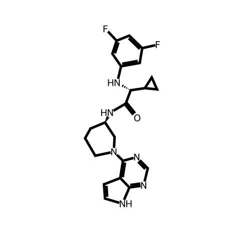 O=C(N[C@@H]1CCCN(c2ncnc3[nH]ccc23)C1)[C@H](Nc1cc(F)cc(F)c1)C1CC1